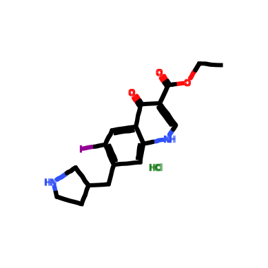 CCOC(=O)c1c[nH]c2cc(CC3CCNC3)c(I)cc2c1=O.Cl